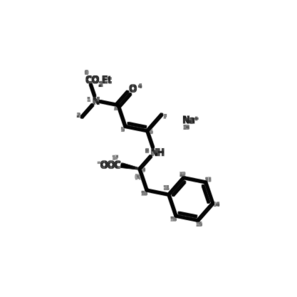 CCOC(=O)N(C)C(=O)C=C(C)N[C@@H](Cc1ccccc1)C(=O)[O-].[Na+]